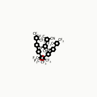 N#Cc1cc(-c2cc(-n3c4cc(-c5ccc(C(F)(F)F)cc5C(F)(F)F)ccc4c4ccc(-c5ccc(C(F)(F)F)cc5C(F)(F)F)cc43)c(C#N)c(-n3c4cc(-c5ccc(C(F)(F)F)cc5C(F)(F)F)ccc4c4ccc(-c5ccc(C(F)(F)F)cc5C(F)(F)F)cc43)c2)cc(C(F)(F)F)c1